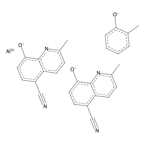 Cc1ccc2c(C#N)ccc([O-])c2n1.Cc1ccc2c(C#N)ccc([O-])c2n1.Cc1ccccc1[O-].[Al+3]